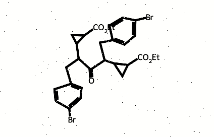 CCOC(=O)C1CC1C(Cc1ccc(Br)cc1)C(=O)C(Cc1ccc(Br)cc1)C1CC1C(=O)OCC